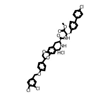 COC(=O)[C@H](Cc1ccc(-c2ccc(Cl)cc2)cc1)NC(=O)[C@@H]1Cc2cc3c(cc2CN1)OC(c1ccc(OCc2ccc(Cl)c(Cl)c2)cc1)CO3.Cl